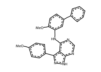 COc1ccc(-c2n[nH]c3ncnc(Nc4cc(-c5ccccc5)ccc4OC)c23)cc1